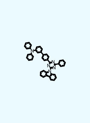 c1ccc(-c2nc(-c3ccc(-c4cccc(N(c5ccccc5)c5ccccc5)c4)cc3)nc(-n3c4ccccc4c4ccccc43)n2)cc1